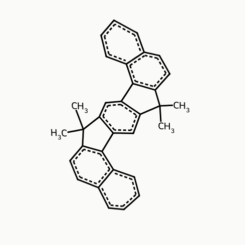 CC1(C)c2cc3c(cc2-c2c1ccc1ccccc21)C(C)(C)c1ccc2ccccc2c1-3